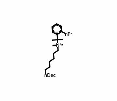 CCCCCCCCCCCCCCCC[N+](C)(C)C(C)(C)c1ccccc1CCC